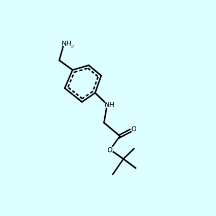 CC(C)(C)OC(=O)CNc1ccc(CN)cc1